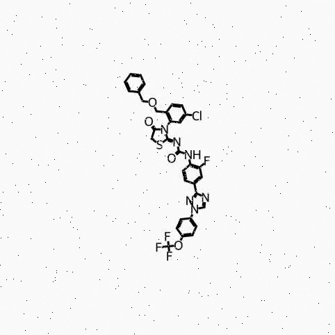 O=C(/N=C1\SCC(=O)N1c1cc(Cl)ccc1COCc1ccccc1)Nc1ccc(-c2ncn(-c3ccc(OC(F)(F)F)cc3)n2)cc1F